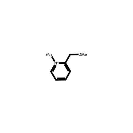 COCc1cccc[n+]1C(C)(C)C